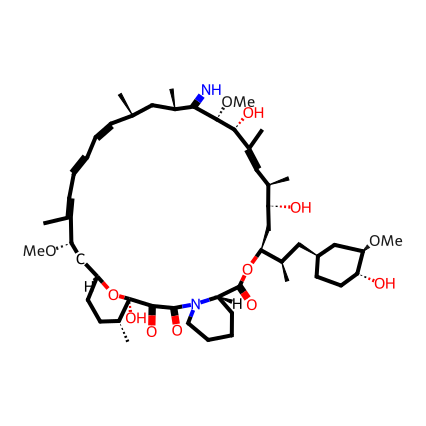 CO[C@H]1C[C@@H]2CC[C@@H](C)[C@@](O)(O2)C(=O)C(=O)N2CCCC[C@H]2C(=O)O[C@H]([C@H](C)C[C@@H]2CC[C@@H](O)[C@H](OC)C2)C[C@@H](O)[C@H](C)/C=C(\C)[C@@H](O)[C@@H](OC)C(=N)[C@H](C)C[C@H](C)/C=C/C=C/C=C/1C